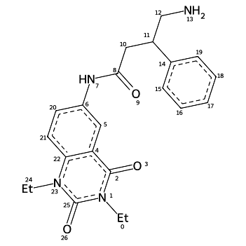 CCn1c(=O)c2cc(NC(=O)CC(CN)c3ccccc3)ccc2n(CC)c1=O